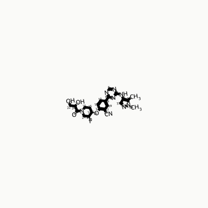 Cc1c(Nc2ncnc(-c3ccc(O[C@H]4CCN(C(=O)C(O)CO)C[C@H]4F)c(C#N)c3)n2)cnn1C